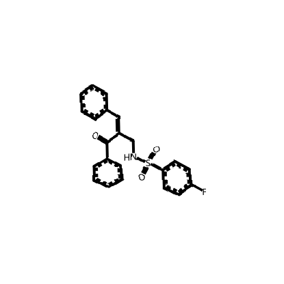 O=C(C(=Cc1ccccc1)CNS(=O)(=O)c1ccc(F)cc1)c1ccccc1